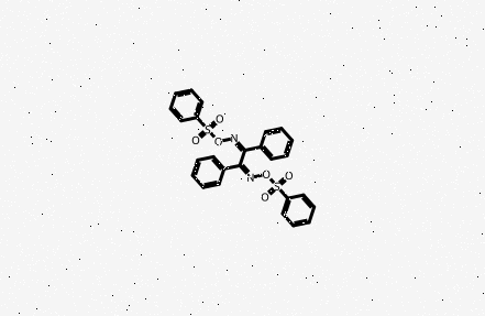 O=S(=O)(O/N=C(\C(=N/OS(=O)(=O)c1ccccc1)c1ccccc1)c1ccccc1)c1ccccc1